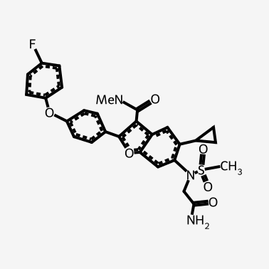 CNC(=O)c1c(-c2ccc(Oc3ccc(F)cc3)cc2)oc2cc(N(CC(N)=O)S(C)(=O)=O)c(C3CC3)cc12